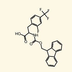 O=C(NC(Cc1ccc(C(F)(F)F)cc1F)C(=O)O)OCC1c2ccccc2-c2ccccc21